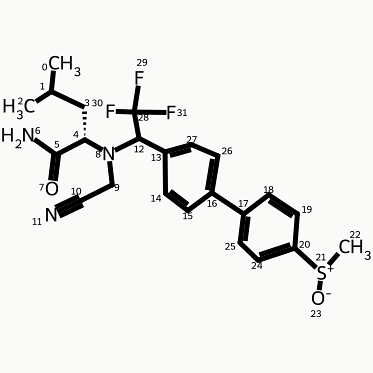 CC(C)C[C@@H](C(N)=O)N(CC#N)C(c1ccc(-c2ccc([S+](C)[O-])cc2)cc1)C(F)(F)F